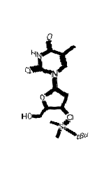 Cc1cn(C2CC(O[Si](C)(C)C(C)(C)C)C(CO)O2)c(=O)[nH]c1=O